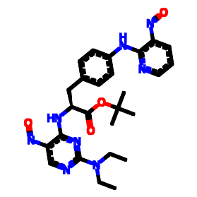 CCN(CC)c1ncc(N=O)c(N[C@@H](Cc2ccc(Nc3ncccc3N=O)cc2)C(=O)OC(C)(C)C)n1